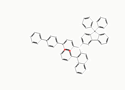 c1ccc(-c2ccc(-c3ccc(N(c4ccc5c(c4)-c4ccccc4C5(c4ccccc4)c4ccccc4)c4ccc5ccccc5c4-c4ccccc4)cc3)cc2)cc1